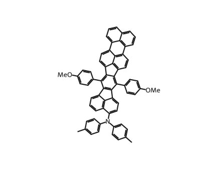 COc1ccc(-c2c3c4cccc5c(N(c6ccc(C)cc6)c6ccc(C)cc6)ccc(c3c(-c3ccc(OC)cc3)c3c6ccc7c8cccc9cccc(c%10ccc(c23)c6c%107)c98)c54)cc1